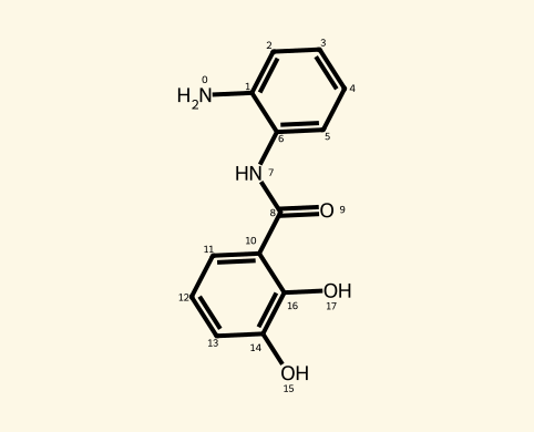 Nc1ccccc1NC(=O)c1cccc(O)c1O